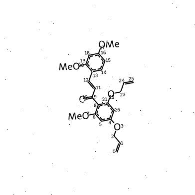 C=CCOc1cc(OC)c(C(=O)C=Cc2ccc(OC)cc2OC)c(OCC=C)c1